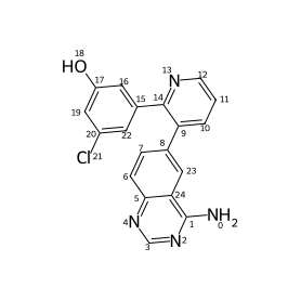 Nc1ncnc2ccc(-c3cccnc3-c3cc(O)cc(Cl)c3)cc12